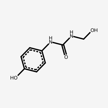 O=C(NCO)Nc1ccc(O)cc1